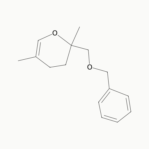 CC1=COC(C)(COCc2ccccc2)CC1